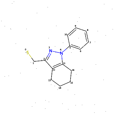 [S]Cc1nn(-c2ccccc2)c2c1CCCC2